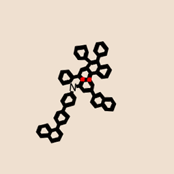 c1ccc(-c2c(-c3ccccc3)c3cc(-c4ccccc4N(c4ccc(-c5ccc(-c6cccc7ccccc67)cc5)cc4)c4cccc(-c5ccc6ccccc6c5)c4)ccc3c3ccccc23)cc1